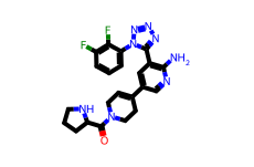 Nc1ncc(C2=CCN(C(=O)C3CCCN3)CC2)cc1-c1nnnn1-c1cccc(F)c1F